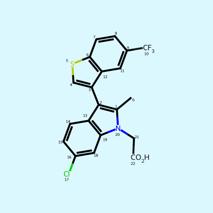 Cc1c(-c2csc3ccc(C(F)(F)F)cc23)c2ccc(Cl)cc2n1CC(=O)O